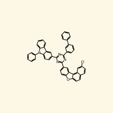 Clc1ccc2ccc3oc4ccc(-c5nc(-c6cccc(-c7ccccc7)c6)nc(-c6ccc7c(c6)c6ccccc6n7-c6ccccc6)n5)cc4c3c2c1